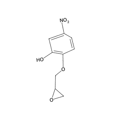 O=[N+]([O-])c1ccc(OCC2CO2)c(O)c1